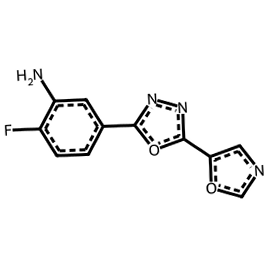 Nc1cc(-c2nnc(-c3cnco3)o2)ccc1F